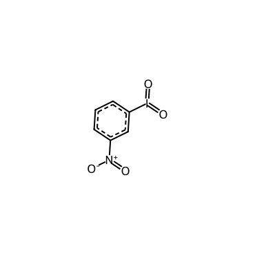 O=[N+]([O-])c1cccc(I(=O)=O)c1